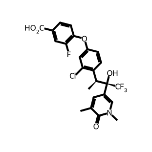 Cc1cc([C@@](O)([C@@H](C)c2ccc(Oc3ccc(C(=O)O)cc3F)cc2Cl)C(F)(F)F)cn(C)c1=O